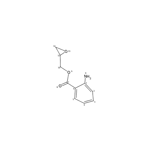 Nc1ccccc1C(=O)OCC1CO1